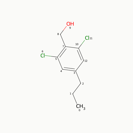 CCCc1cc(Cl)c(CO)c(Cl)c1